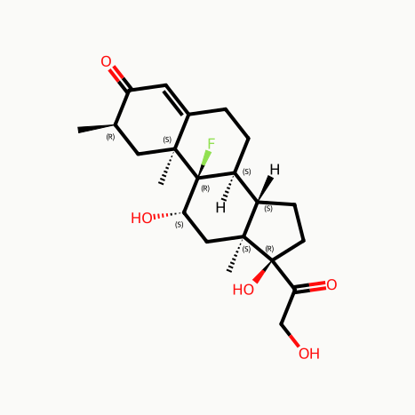 C[C@@H]1C[C@@]2(C)C(=CC1=O)CC[C@H]1[C@@H]3CC[C@](O)(C(=O)CO)[C@@]3(C)C[C@H](O)[C@@]12F